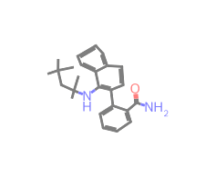 CC(C)(C)CC(C)(C)Nc1c(-c2ccccc2C(N)=O)ccc2ccccc12